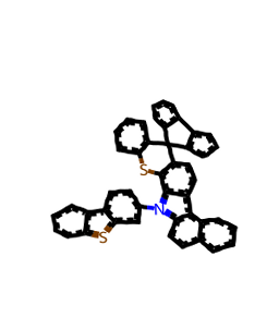 c1ccc2c(c1)Sc1c(ccc3c4c5ccccc5ccc4n(-c4ccc5c(c4)sc4ccccc45)c13)C21c2ccccc2-c2ccccc21